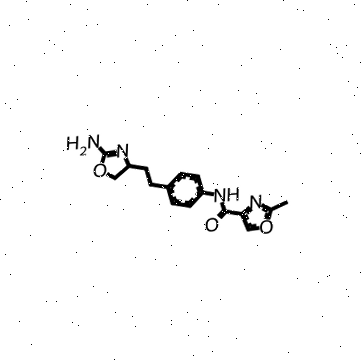 Cc1nc(C(=O)Nc2ccc(CCC3COC(N)=N3)cc2)co1